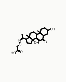 C/C(=N/OCC(=O)O)C1CC[C@@]2(O)C3=CC(=O)C4CC(O)CCC4(C)C3CCC12C